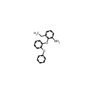 CCc1cccc(N)c1Oc1ccccc1Oc1ccccc1